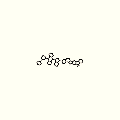 CC1(C)c2ccccc2-c2cc3c(cc21)sc1c2ccc(-c4ccc(-c5c6ccccc6c(-c6cccc(-c7ccccc7)c6)c6ccccc56)c5ccccc45)cc2ccc31